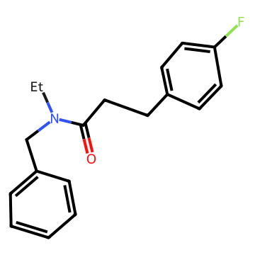 CCN(Cc1ccccc1)C(=O)CCc1ccc(F)cc1